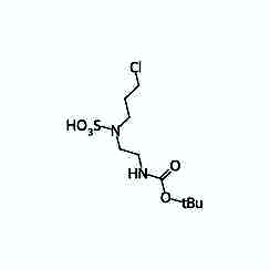 CC(C)(C)OC(=O)NCCN(CCCCl)S(=O)(=O)O